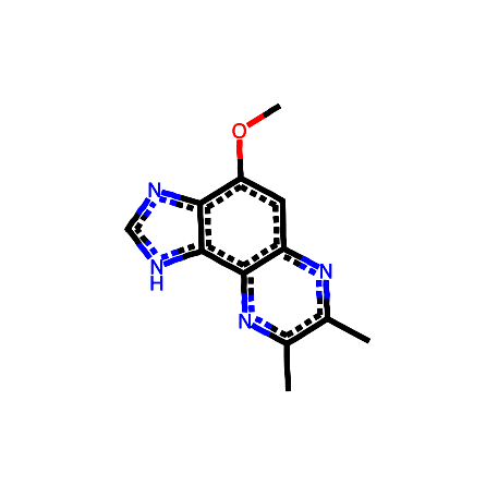 COc1cc2nc(C)c(C)nc2c2[nH]cnc12